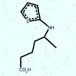 CC(CCCC(=O)O)Nc1cccs1